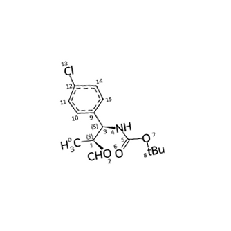 C[C@H](C=O)[C@H](NC(=O)OC(C)(C)C)c1ccc(Cl)cc1